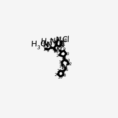 Cn1ccc(-c2cn(C3CCC(C4CCN(CC5CCCC5)CC4)C3)c3nc(Cl)nc(N)c23)n1